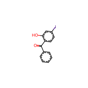 O=C(c1ccccc1)c1ccc(I)cc1O